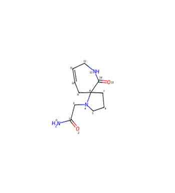 NC(=O)CN1CCCC12CC=CCNC2=O